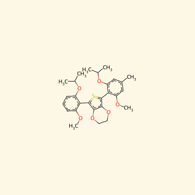 COc1cccc(OC(C)C)c1-c1sc(-c2c(OC)cc(C)cc2OC(C)C)c2c1OCCO2